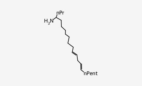 CCCCC/C=C/C/C=C/CCCCCCCC(N)CCC